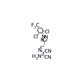 N#C/C(N)=C(C#N)/N=C\Cc1cnn(-c2c(Cl)cc(C(F)(F)F)cc2Cl)n1